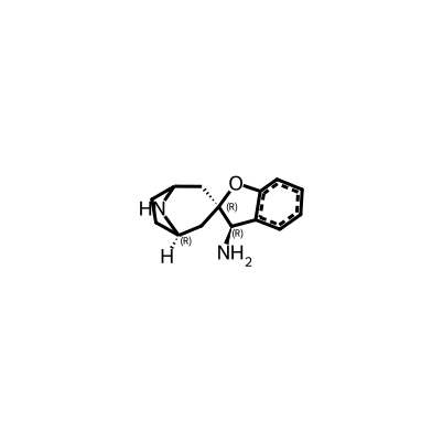 N[C@@H]1c2ccccc2O[C@@]12CC1CC[C@H](C2)N1